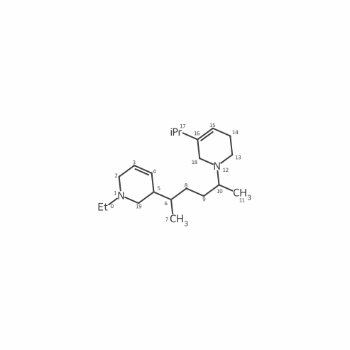 CCN1CC=CC(C(C)CCC(C)N2CCC=C(C(C)C)C2)C1